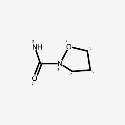 [NH]C(=O)N1CCCO1